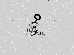 CCC(C)(C)OC(=O)OC([C]=O)c1ccccc1